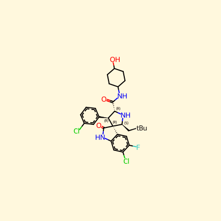 CC(C)(C)C[C@@H]1N[C@@H](C(=O)NC2CCC(O)CC2)[C@H](c2cccc(Cl)c2)[C@]12C(=O)Nc1cc(Cl)c(F)cc12